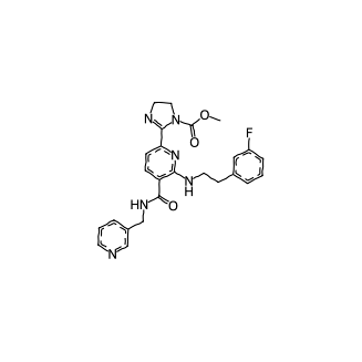 COC(=O)N1CCN=C1c1ccc(C(=O)NCc2cccnc2)c(NCCc2cccc(F)c2)n1